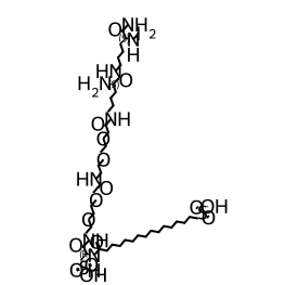 NC(=O)[C@H](CCCCNC(=O)[C@@H](N)CCCCNC(=O)COCCOCCNC(=O)COCCOCCNC(=O)[C@H](CS(=O)(=O)O)NC(=O)CCCCCCCCCCCCCCCS(=O)(=O)O)NI